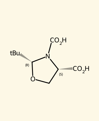 CC(C)(C)[C@H]1OC[C@@H](C(=O)O)N1C(=O)O